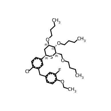 CCCCOC[C@H]1S[C@@H](c2ccc(Cl)c(Cc3ccc(OCC)c(F)c3)c2)C[C@@H](OCCCC)[C@@H]1OCCCC